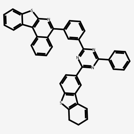 C1=Cc2c(sc3ccc(-c4nc(-c5ccccc5)nc(-c5cccc(-c6nc7sc8ccccc8c7c7ccccc67)c5)n4)cc23)CC1